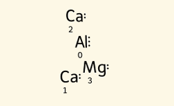 [Al].[Ca].[Ca].[Mg]